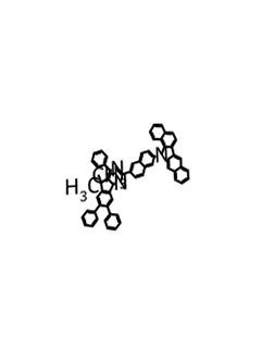 CC1(C)c2cc(-c3ccccc3)c(-c3ccccc3)cc2-c2nc(-c3ccc4cc(-n5c6cc7ccccc7cc6c6ccc7ccccc7c65)ccc4c3)nc(-c3ccccc3)c21